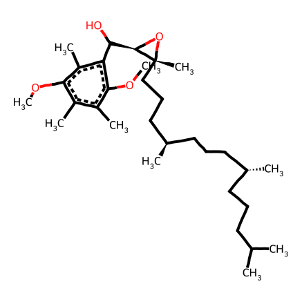 COc1c(C)c(C)c(OC)c(C(O)[C@H]2O[C@]2(C)CCC[C@H](C)CCC[C@H](C)CCCC(C)C)c1C